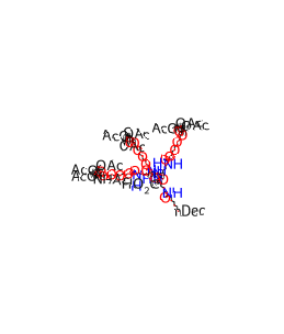 CCCCCCCCCCCCCCCC(=O)NCCCC[C@H](NC(=O)[C@H](CCCCNC(=O)COCCOCCOCCO[C@H]1C[C@@H](OC(C)=O)[C@@H](OC(C)=O)[C@@H](COC(C)=O)O1)NC(=O)[C@H](CCCCNC(=O)COCCOCCOCCO[C@@H]1O[C@H](COC(C)=O)[C@H](OC(C)=O)[C@H](OC(C)=O)[C@H]1NC(C)=O)NC(=O)COCCOCCOCCO[C@H]1C[C@@H](OC(C)=O)[C@@H](OC(C)=O)[C@@H](COC(C)=O)O1)C(=O)O